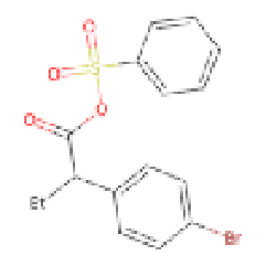 CCC(C(=O)OS(=O)(=O)c1ccccc1)c1ccc(Br)cc1